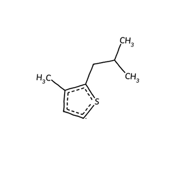 Cc1c[c]sc1CC(C)C